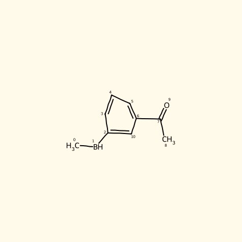 CBc1cccc(C(C)=O)c1